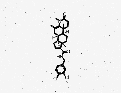 CC1=C2N(C)C(=O)CC[C@]2(C)[C@H]2CC[C@]3(C)[C@@H](C(=O)NCc4ccc(Cl)c(Cl)c4)CC[C@H]3[C@@H]2C1